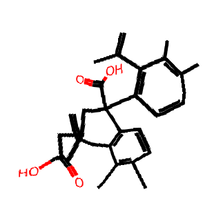 C=C(C)c1c(C(CCCC(=O)O)(C(=O)O)c2ccc(C)c(C)c2C(=C)C)ccc(C)c1C